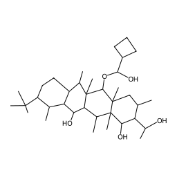 CC(O)C1C(C)CC2(C)C(OC(O)C3CCC3)C3(C)C(C)C4CCC(C(C)(C)C)C(C)C4C(O)C3C(C)C2(C)C1O